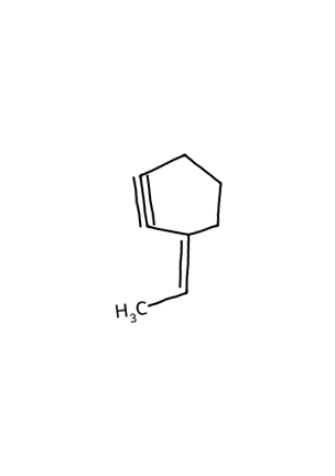 CC=C1C#CCCC1